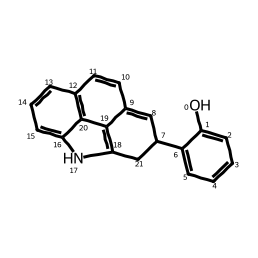 Oc1ccccc1C1C=c2ccc3cccc4[nH]c(c2c34)C1